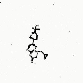 CC(C)(O)c1ccc(-c2cnc3c(n2)N(CC2CC2)CC(=O)N3)cn1